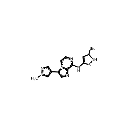 Cn1cc(-c2cnc3c(NC4=CC(C(C)(C)C)NS4)nccn23)cn1